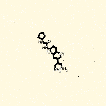 N/C=C(\CN)C1=CC2=C(C=CC(NC(=O)NC3CCCC3)N2)NC1